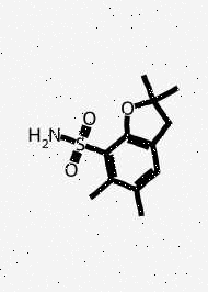 Cc1cc2c(c(S(N)(=O)=O)c1C)OC(C)(C)C2